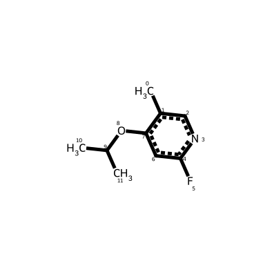 Cc1cnc(F)cc1OC(C)C